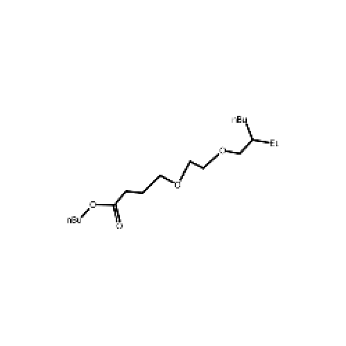 CCCCOC(=O)CCCOCCOCC(CC)CCCC